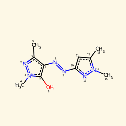 Cc1nn(C)c(O)c1N=Nc1cc(C)n(C)n1